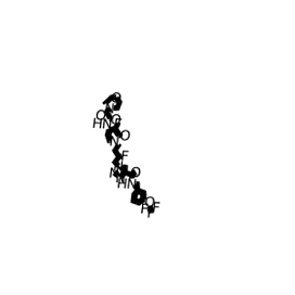 O=C(Nc1ccn(CCC(F)Cn2cc(C(=O)NCc3cccc(OC(F)(F)F)c3)nn2)c(=O)c1F)C(=O)N1CCOCC1